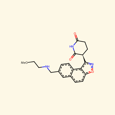 COCCNCc1ccc2c(ccc3onc([C@@H]4CCC(=O)NC4=O)c32)c1